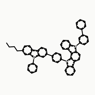 CCCCc1ccc2c3ccc(-c4ccc(-n5c6ccccc6c6ccc7c(c8ccccc8n7-c7cccc(-c8ccccc8)c7)c65)cc4)cc3n(-c3ccccc3)c2c1